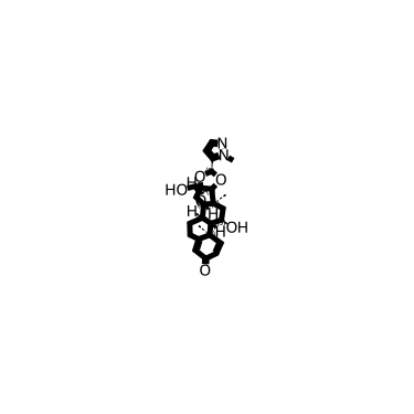 Cn1nccc1[C@H]1O[C@@H]2C[C@H]3[C@@H]4CCC5=CC(=O)C=C[C@]5(C)[C@H]4[C@@H](O)C[C@]3(C)[C@]2(C(=O)CO)O1